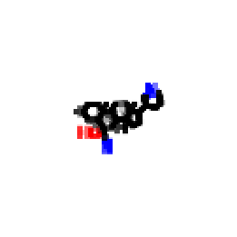 C[C@H]1CC[C@@]2(C)[C@](C)(C1)[C@](O)(C#N)C[C@@H]1[C@]2(C)CC[C@]2(C)C(c3cccnc3)=CC[C@@]12C